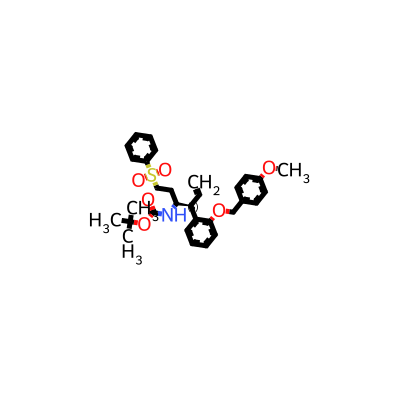 C=C[C@@H](c1ccccc1OCc1ccc(OC)cc1)C(CCS(=O)(=O)c1ccccc1)NC(=O)OC(C)(C)C